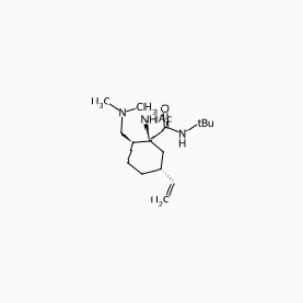 C=C[C@@H]1CC[C@@H](CN(C)C)[C@](NC(C)=O)(C(=O)NC(C)(C)C)C1